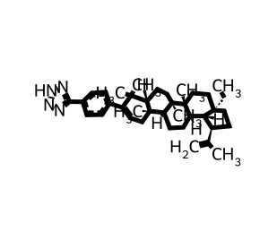 C=C(C)[C@@H]1CC[C@]2(CC)CC[C@]3(C)[C@H](CC[C@@H]4[C@@]5(C)CC=C(c6ccc(-c7nn[nH]n7)cc6)C(C)(C)[C@@H]5CC[C@]43C)[C@@H]12